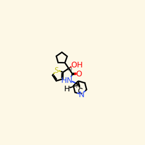 O=C(N[C@H]1CN2CCC1CC2)[C@](O)(c1cccs1)C1CCCC1